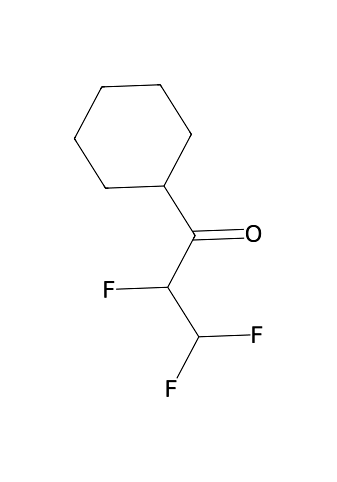 O=C(C1CCCCC1)C(F)C(F)F